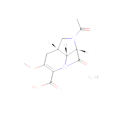 COC1=C(C(=O)O)N2C(=O)[C@@H]3[C@H]2[C@H](C1)CN3C(C)=O.[NaH]